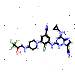 N#Cc1cc(Nc2nc(NC3CC3)c3ncc(C#N)n3n2)c(Cl)c(N2CCC(NCC(O)C(F)(F)F)CC2)c1